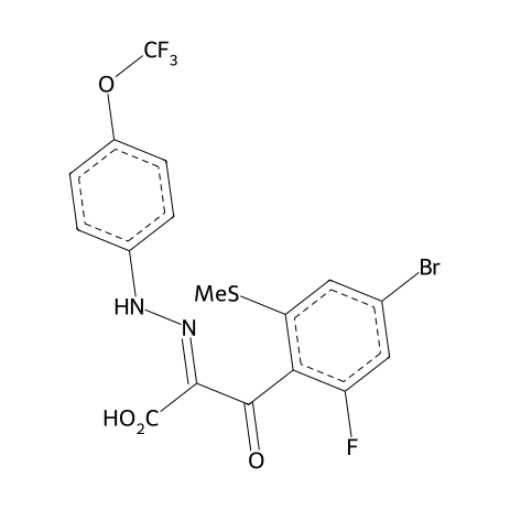 CSc1cc(Br)cc(F)c1C(=O)C(=NNc1ccc(OC(F)(F)F)cc1)C(=O)O